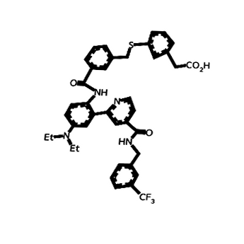 CCN(CC)c1ccc(NC(=O)c2cccc(CSc3cccc(CC(=O)O)c3)c2)c(-c2cc(C(=O)NCc3cccc(C(F)(F)F)c3)ccn2)c1